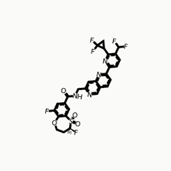 O=C(NCc1cc2nc(-c3ccc(C(F)F)c(C4CC4(F)F)n3)ccc2cn1)c1cc(F)c2c(c1)S(=O)(=O)[C@@H](F)CCO2